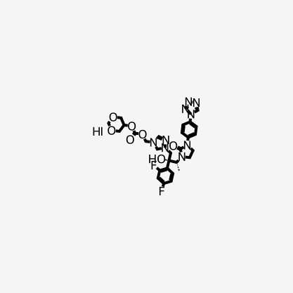 C[C@@H](N1CCN(c2ccc(-n3cnnn3)cc2)C1=O)[C@](O)(CN1CN(COC(=O)OC2COCOC2)C=N1)c1ccc(F)cc1F.I